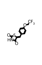 O=C1NC(=O)C(=Cc2ccc(OCC(F)(F)F)cc2)S1